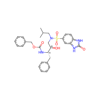 CC(C)CN(C[C@@H](O)[C@H](Cc1ccccc1)NC(=O)OCc1ccccc1)S(=O)(=O)c1ccc2[nH]c(=O)[nH]c2c1